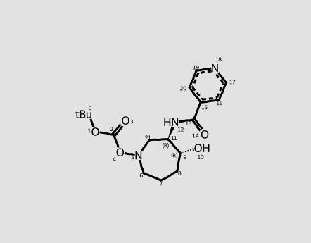 CC(C)(C)OC(=O)ON1CCC[C@@H](O)[C@H](NC(=O)c2ccncc2)C1